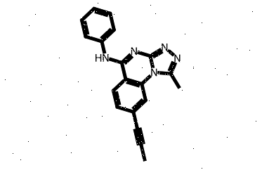 CC#Cc1ccc2c(Nc3ccccc3)nc3nnc(C)n3c2c1